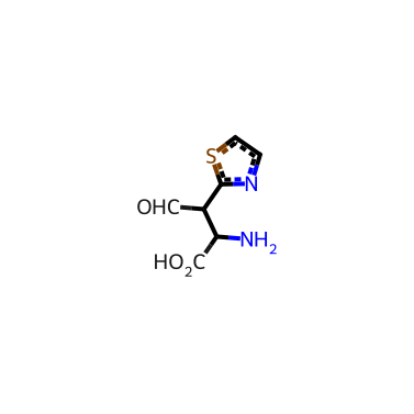 NC(C(=O)O)C(C=O)c1nccs1